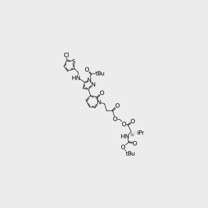 CC(C)[C@H](NC(=O)OC(C)(C)C)C(=O)OCOC(=O)CCn1cccc(-c2cc(NCc3ccc(Cl)s3)n(C(=O)C(C)(C)C)n2)c1=O